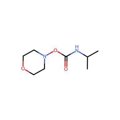 CC(C)NC(=O)ON1CCOCC1